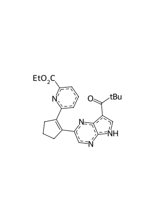 CCOC(=O)c1cccc(C2=C(c3cnc4[nH]cc(C(=O)C(C)(C)C)c4n3)CCC2)n1